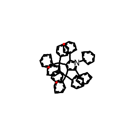 c1ccc(-c2c(C(c3ccccc3)(c3ccccc3)c3ccccc3)c(C(c3ccccc3)(c3ccccc3)c3ccccc3)c(-c3ccccc3)n2-c2ccccc2)cc1